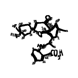 Cc1cc(C(C)Nc2ccccc2C(=O)O)c2oc(N3CCC(F)(F)CC3)cc(=O)c2c1